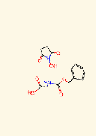 O=C(O)CNC(=O)OCc1ccccc1.O=C1CCC(=O)N1O